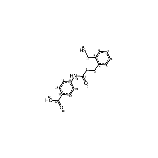 O=C(CCc1ccccc1CS)Nc1ccc(C(=O)O)cc1